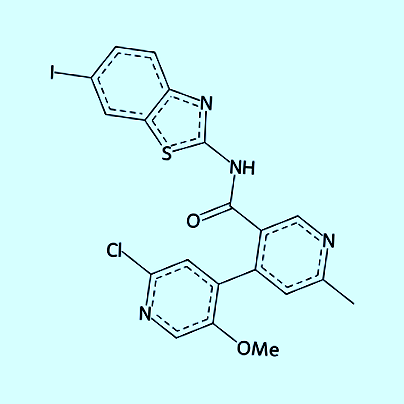 COc1cnc(Cl)cc1-c1cc(C)ncc1C(=O)Nc1nc2ccc(I)cc2s1